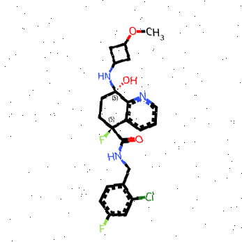 COC1CC(N[C@]2(O)CC[C@@](F)(C(=O)NCc3ccc(F)cc3Cl)c3cccnc32)C1